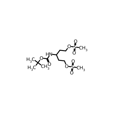 CC(C)(C)OC(=O)NC(CCOS(C)(=O)=O)CCOS(C)(=O)=O